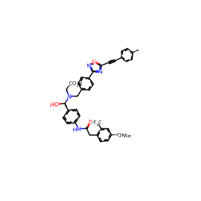 COc1ccc(CC(=O)Nc2ccc(C(O)N(CC(=O)O)Cc3ccc(-c4noc(C#Cc5ccc(C)cc5)n4)cc3)cc2)c(C(F)(F)F)c1